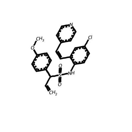 C=CC(c1ccc(OC)cc1)S(=O)(=O)Nc1ccc(Cl)cc1C=Cc1ccncc1